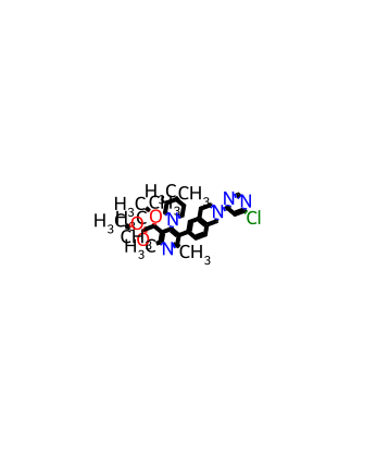 Cc1nc(C)c(C(OC(C)(C)C)C(=O)OC(C)C)c(N2CCC(C)(C)CC2)c1-c1ccc2c(c1)CCN(c1cc(Cl)ncn1)C2